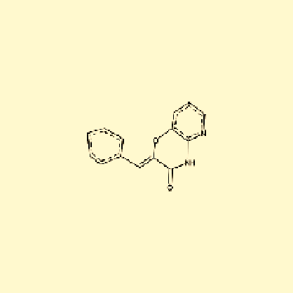 O=C1Nc2ncccc2OC1=Cc1ccccc1